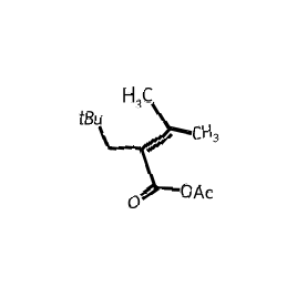 CC(=O)OC(=O)C(CC(C)(C)C)=C(C)C